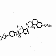 COc1ccc2c(c1)CCC1=C2NC(n2ncc(C(=O)Nc3ccc(N4CC5(CN(C)C5)C4)cc3)c2N)N=C1